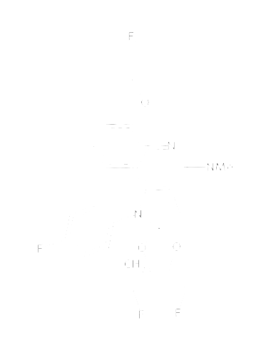 CNc1nc2c(OCCF)cccc2c2c1CC(OCCF)(OCCF)N2c1ccc(F)cc1C